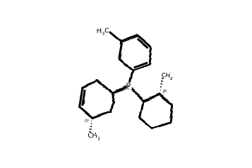 CC1C=CC=C(P(C2CC=C[C@@H](C)C2)C2CCCC[C@H]2C)C1